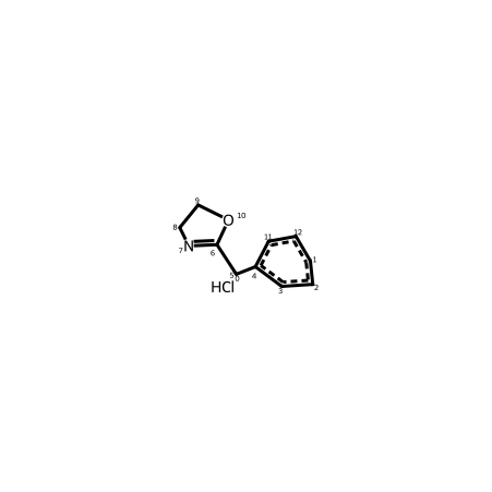 Cl.c1ccc(CC2=NCCO2)cc1